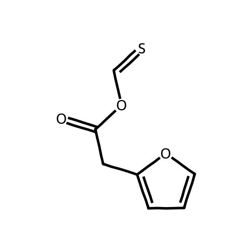 O=C(Cc1ccco1)OC=S